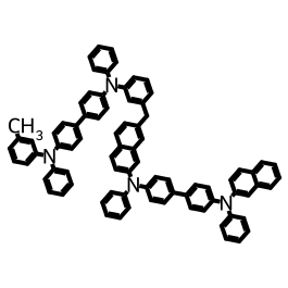 Cc1cccc(N(c2ccccc2)c2ccc(-c3ccc(N(c4ccccc4)c4cccc(Cc5ccc6ccc(N(c7ccccc7)c7ccc(-c8ccc(N(c9ccccc9)c9ccc%10ccccc%10c9)cc8)cc7)cc6c5)c4)cc3)cc2)c1